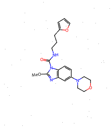 COc1nc2cc(N3CCOCC3)ccc2n1C(=O)NCCCc1ccco1